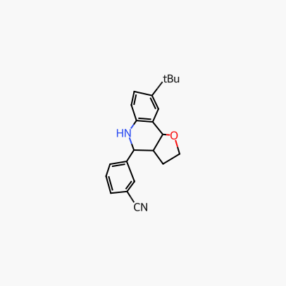 CC(C)(C)c1ccc2c(c1)C1OCCC1C(c1cccc(C#N)c1)N2